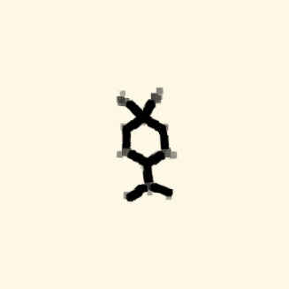 CN(C)C1OCC(Br)(Br)CO1